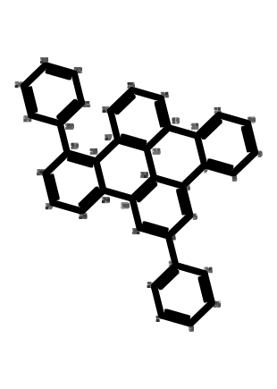 c1ccc(-c2cc3c4ccccc4c4cccc5c6c(-c7ccccc7)cccc6c(c2)c3c45)cc1